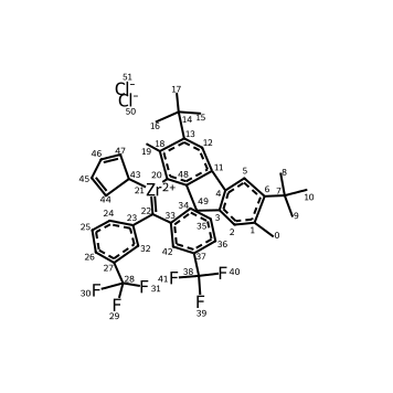 Cc1cc2c(cc1C(C)(C)C)-c1cc(C(C)(C)C)c(C)[c]([Zr+2](=[C](c3cccc(C(F)(F)F)c3)c3cccc(C(F)(F)F)c3)[CH]3C=CC=C3)c1C2.[Cl-].[Cl-]